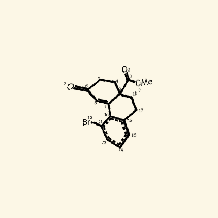 COC(=O)C12CCC(=O)C=C1c1c(Br)cccc1CC2